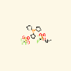 C1CCC(P(C2CCCC2)C2CCCC2)C1.O=S(=O)([O-])C(F)(F)F.O=S(=O)([O-])C(F)(F)F.[Pd+2]